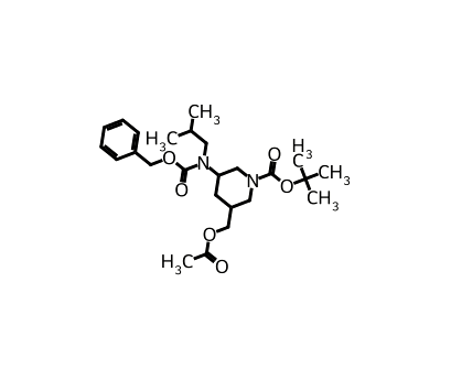 CC(=O)OCC1CC(N(CC(C)C)C(=O)OCc2ccccc2)CN(C(=O)OC(C)(C)C)C1